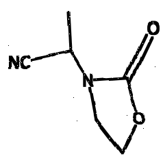 CC(C#N)N1CCOC1=O